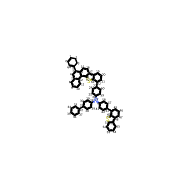 C1=CCCC(c2cc3ccccc3c3c2ccc2c4cccc(-c5ccc(N(c6ccc(-c7ccccc7)cc6)c6ccc(-c7cccc8c7sc7ccccc78)cc6)cc5)c4sc23)=C1